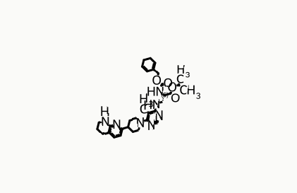 Cc1c(NC[C@H](NC(=O)OCC2=CCCC=C2)C(=O)OC(C)C)ncnc1N1CCC(c2ccc3c(n2)NCCC3)CC1